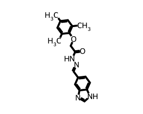 Cc1cc(C)c(OCC(=O)N/N=C/c2ccc3[nH]cnc3c2)c(C)c1